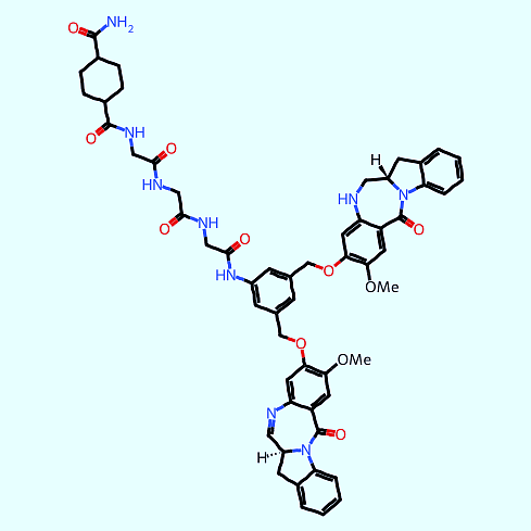 COc1cc2c(cc1OCc1cc(COc3cc4c(cc3OC)C(=O)N3c5ccccc5C[C@H]3CN4)cc(NC(=O)CNC(=O)CNC(=O)CNC(=O)C3CCC(C(N)=O)CC3)c1)N=C[C@@H]1Cc3ccccc3N1C2=O